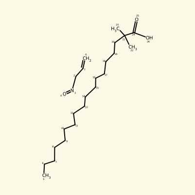 C=CCN=O.CCCCCCCCCCCCCCCCC(C)(C)C(=O)O